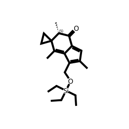 CC[Si](CC)(CC)OCC1=C(C)C=C2C(=O)[C@@H](C)C3(CC3)C(C)=C21